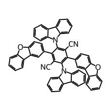 N#Cc1c(-c2ccc3oc4ccccc4c3c2)c(-n2c3ccccc3c3ccccc32)c(C#N)c(-c2ccc3oc4ccccc4c3c2)c1-n1c2ccccc2c2ccccc21